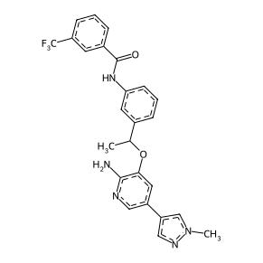 CC(Oc1cc(-c2cnn(C)c2)cnc1N)c1cccc(NC(=O)c2cccc(C(F)(F)F)c2)c1